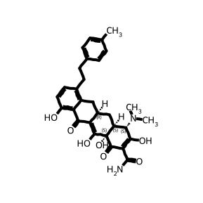 Cc1ccc(CCc2ccc(O)c3c2C[C@H]2C[C@H]4[C@H](N(C)C)C(O)=C(C(N)=O)C(=O)[C@@]4(O)C(O)=C2C3=O)cc1